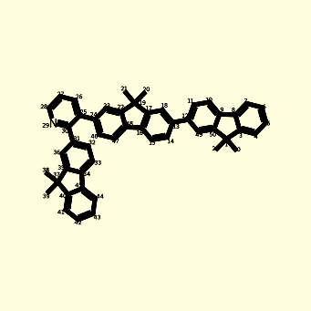 CC1(C)c2ccccc2-c2ccc(-c3ccc4c(c3)C(C)(C)c3cc(-c5cccnc5-c5ccc6c(c5)C(C)(C)c5ccccc5-6)ccc3-4)cc21